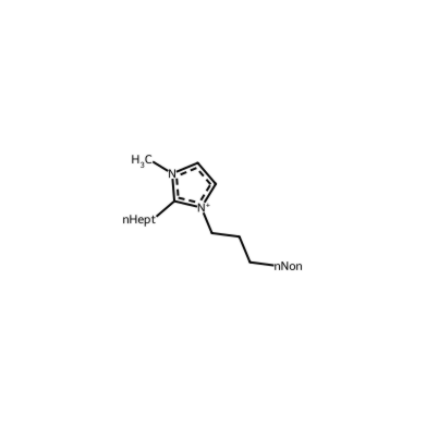 CCCCCCCCCCCC[n+]1ccn(C)c1CCCCCCC